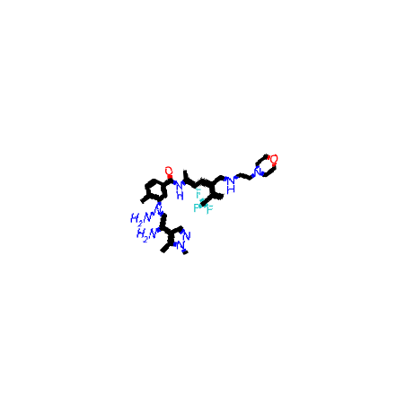 C=C(/C(=C\C=C(/C)NC(=O)c1ccc(C)c(N(N)/C=C(\N)c2cnn(C)c2C)c1)CNCCN1CCOCC1)C(F)(F)F